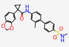 CNS(=O)(=O)c1ccc(-c2ccc(NC(=O)C3(c4ccc5c(c4)OCO5)CC3)cc2C)cc1